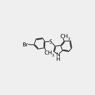 Cc1cc(Br)ccc1Sc1c[nH]c2cccc(C)c12